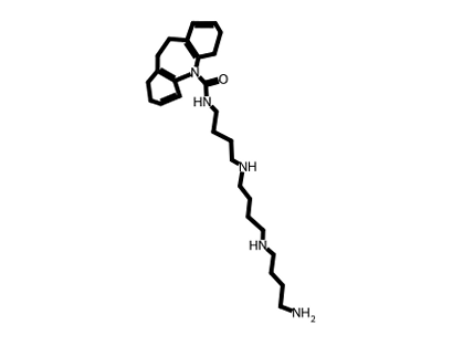 NCCCCNCCCCNCCCCNC(=O)N1C2=C(CCC=C2)CCC2=C1CCC=C2